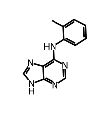 Cc1ccccc1Nc1ncnc2[nH]cnc12